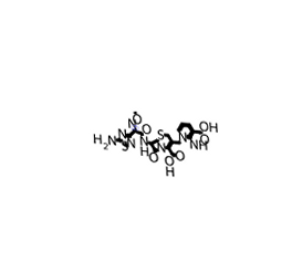 CO/N=C(\C(=O)NC1C(=O)N2C(C(=O)O)=C(Cn3cccc(C(=O)O)c3=N)CSC12)c1nsc(N)n1